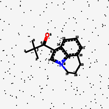 CC(C)(C)C(=O)c1cn2c3c(cccc13)CCC2